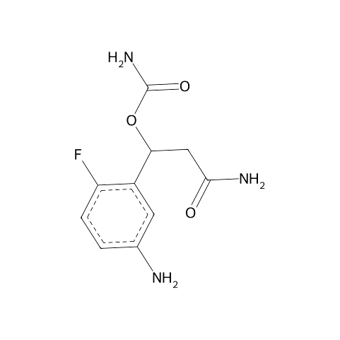 NC(=O)CC(OC(N)=O)c1cc(N)ccc1F